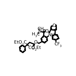 CCOC(=O)C(CC(=O)OCc1ccc(NC(=O)c2ccccc2-c2ccc(C(F)(F)F)cc2)c(C(=O)N(C)C)c1)(C(=O)OCC)c1ccccc1